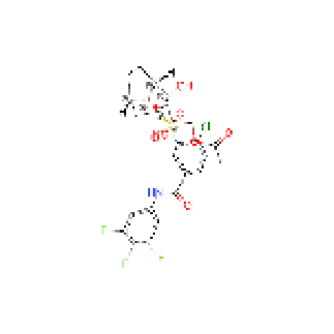 CC(=O)OC[C@H](O)[C@@H](O)[C@@]1(O)[C@@H]2CC[C@H]1C[C@H](S(=O)(=O)c1cc(C(=O)Nc3cc(F)c(F)c(F)c3)ccc1Cl)C2